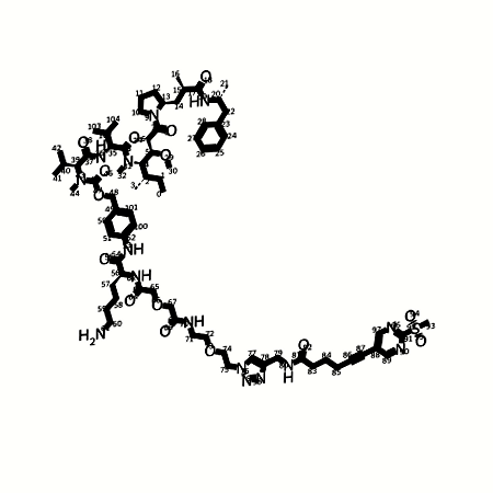 CC[C@H](C)[C@@H]([C@@H](CC(=O)N1CCC[C@H]1C[C@@H](C)C(=O)N[C@H](C)Cc1ccccc1)OC)N(C)C(=O)[C@@H](NC(=O)[C@H](C(C)C)N(C)C(=O)OCc1ccc(NC(=O)[C@H](CCCCN)NC(=O)COCC(=O)NCCOCCn2cc(CNC(=O)CCCC#Cc3cnc(S(C)(=O)=O)nc3)nn2)cc1)C(C)C